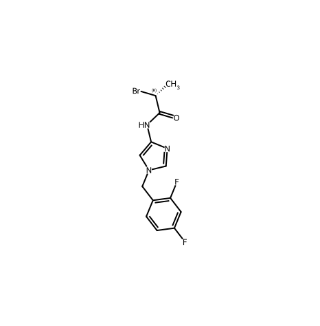 C[C@@H](Br)C(=O)Nc1cn(Cc2ccc(F)cc2F)cn1